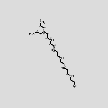 NCCNCCNCCNCCNCCNCCN(CCN)CCN